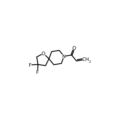 C=CC(=O)N1CCC2(CC1)CC(F)(F)CO2